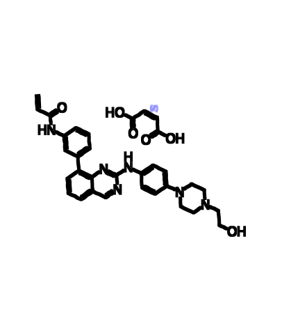 C=CC(=O)Nc1cccc(-c2cccc3cnc(Nc4ccc(N5CCN(CCO)CC5)cc4)nc23)c1.O=C(O)/C=C\C(=O)O